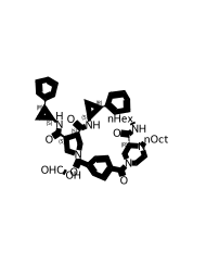 CCCCCCCCN1CCN(C(=O)c2ccc(C(=O)N3C[C@@H](C(=O)N[C@H]4C[C@@H]4c4ccccc4)[C@H](C(=O)N[C@H]4C[C@@H]4c4ccccc4)C3)cc2)C[C@@H]1C(=O)NCCCCCC.O=CO